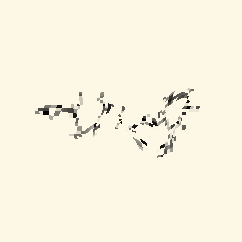 O=C1CCN(CCC2COc3ccccc3O2)CC1